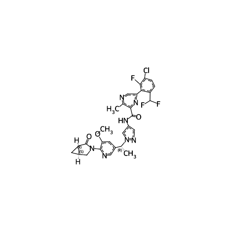 COc1cc([C@@H](C)n2cc(NC(=O)c3nc(-c4c(C(F)F)ccc(Cl)c4F)cnc3C)cn2)cnc1N1C[C@H]2C[C@H]2C1=O